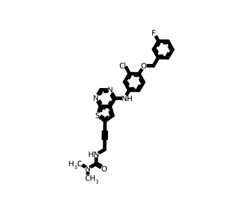 CN(C)C(=O)NCC#Cc1cc2c(Nc3ccc(OCc4cccc(F)c4)c(Cl)c3)ncnc2s1